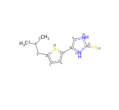 CC(C)Cc1ccc(-c2c[nH]c(=S)[nH]2)s1